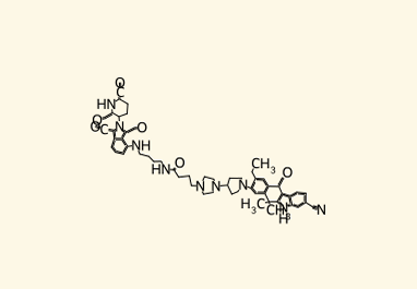 CCc1cc2c(cc1N1CCC(N3CCN(CCCC(=O)NCCCCNc4cccc5c(=C=O)n(C6CCC(=C=O)NC6=C=O)c(=C=O)c45)CC3)CC1)C(C)(C)c1[nH]c3cc(C#N)ccc3c1C2=C=O